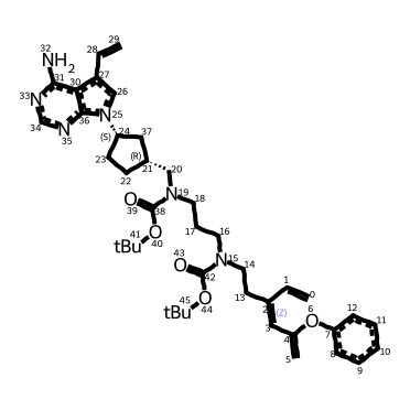 C=C/C(=C\C(=C)Oc1ccccc1)CCN(CCCN(C[C@@H]1CC[C@H](n2cc(C=C)c3c(N)ncnc32)C1)C(=O)OC(C)(C)C)C(=O)OC(C)(C)C